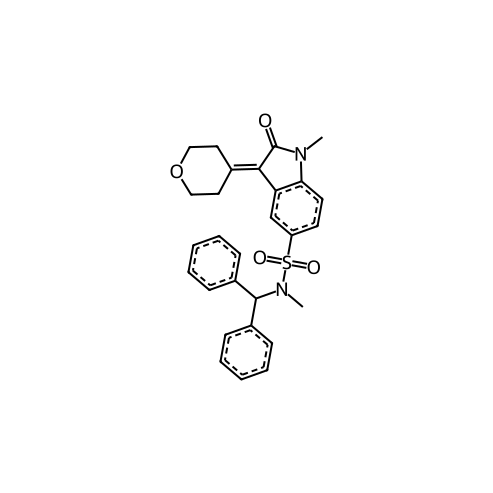 CN1C(=O)C(=C2CCOCC2)c2cc(S(=O)(=O)N(C)C(c3ccccc3)c3ccccc3)ccc21